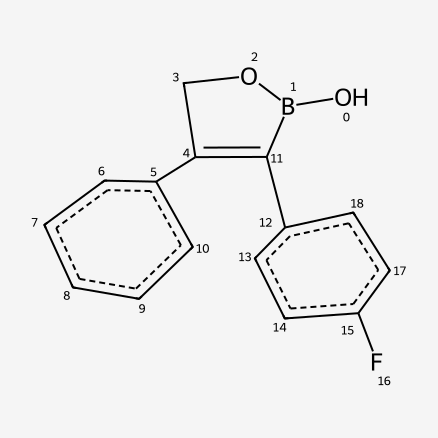 OB1OCC(c2ccccc2)=C1c1ccc(F)cc1